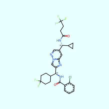 O=C(CCC(F)(F)F)N[C@@H](c1cnn2cc([C@@H](NC(=O)c3ccccc3Cl)C3CCC(F)(F)CC3)nc2c1)C1CC1